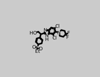 CCS(=O)(=O)C1C=CC(C(CO)c2nc3cc(Cl)c(N4CCC(F)(F)CC4)c(Cl)c3[nH]2)=CC1